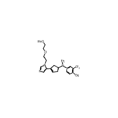 CCN(c1ccc(C#N)c(C(F)(F)F)c1)C1CC=C(c2cncn2CCOCCOC)C1